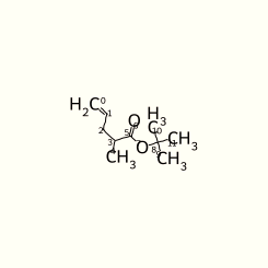 C=CCC(C)C(=O)OC(C)(C)C